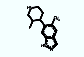 Cc1cc2cn[nH]c2cc1C1CCNCC1F